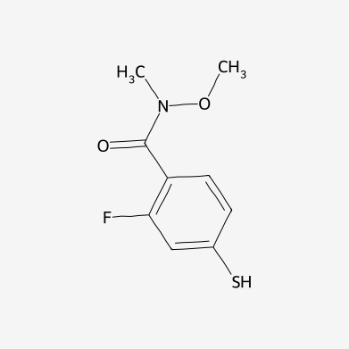 CON(C)C(=O)c1ccc(S)cc1F